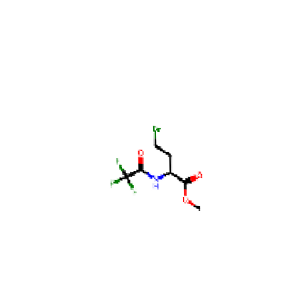 COC(=O)C(CCBr)NC(=O)C(F)(F)F